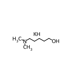 CN(C)CCCCCO.[KH]